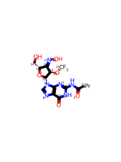 CC(C)C(=O)Nc1nc2c(ncn2[C@@H]2O[C@H](CO)C(=NO)[C@H]2OC(F)(F)F)c(=O)[nH]1